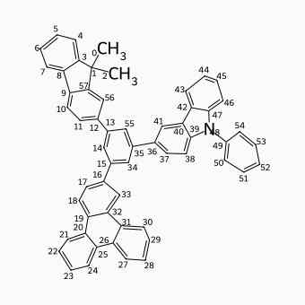 CC1(C)c2ccccc2-c2ccc(-c3cc(-c4ccc5c6ccccc6c6ccccc6c5c4)cc(-c4ccc5c(c4)c4ccccc4n5-c4ccccc4)c3)cc21